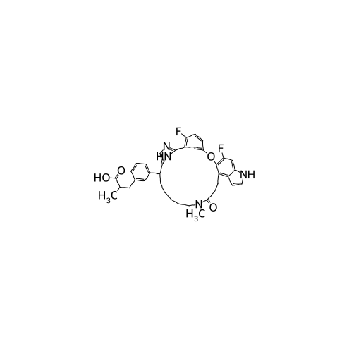 CC(Cc1cccc(C2CCCCCN(C)C(=O)CCc3c(c(F)cc4[nH]ccc34)Oc3ccc(F)c(c3)-c3ncc2[nH]3)c1)C(=O)O